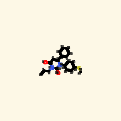 C=CCn1c(=O)cc(-c2ccccc2)n(-c2ccc(SC)cc2)c1=O